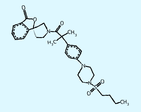 CCCCS(=O)(=O)N1CCN(c2ccc(C(C)(C)C(=O)N3CC[C@@]4(C3)OC(=O)c3ccccc34)cc2)CC1